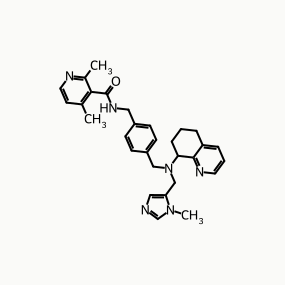 Cc1ccnc(C)c1C(=O)NCc1ccc(CN(Cc2cncn2C)C2CCCc3cccnc32)cc1